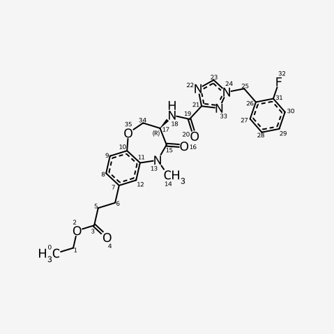 CCOC(=O)CCc1ccc2c(c1)N(C)C(=O)[C@H](NC(=O)c1ncn(Cc3ccccc3F)n1)CO2